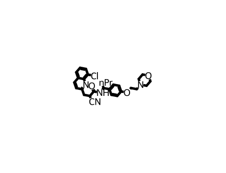 CCCC(NC(=O)C(C#N)Cc1ccc2cccc(Cl)c2n1)c1ccc(OCCN2CCOCC2)cc1